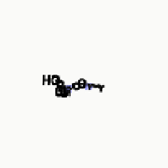 CC(C)=CCC/C(C)=C/COc1ccc(/C=C/C(=O)c2ccc(O)cc2O)cc1